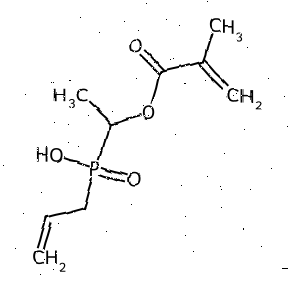 C=CCP(=O)(O)C(C)OC(=O)C(=C)C